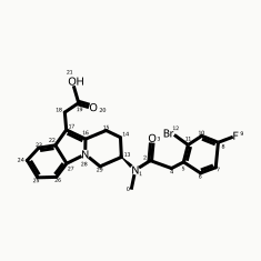 CN(C(=O)Cc1ccc(F)cc1Br)[C@@H]1CCc2c(CC(=O)O)c3ccccc3n2C1